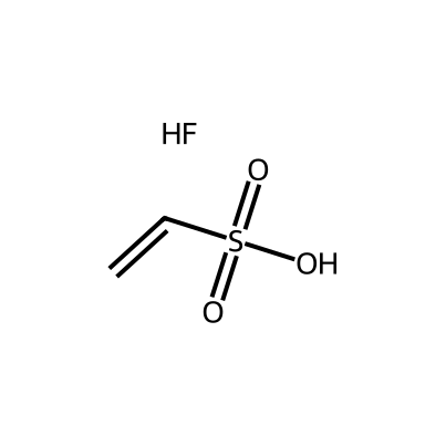 C=CS(=O)(=O)O.F